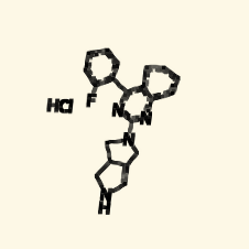 Cl.Fc1ccccc1-c1nc(N2CC3=CNCC3C2)nc2ccccc12